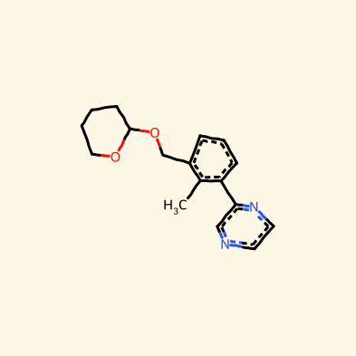 Cc1c(COC2CCCCO2)cccc1-c1cnccn1